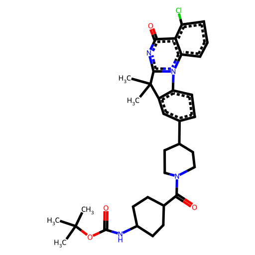 CC(C)(C)OC(=O)NC1CCC(C(=O)N2CCC(c3ccc4c(c3)C(C)(C)c3nc(=O)c5c(Cl)cccc5n3-4)CC2)CC1